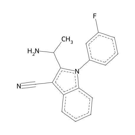 CC(N)c1c(C#N)c2ccccc2n1-c1cccc(F)c1